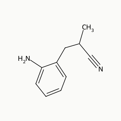 CC(C#N)Cc1ccccc1N